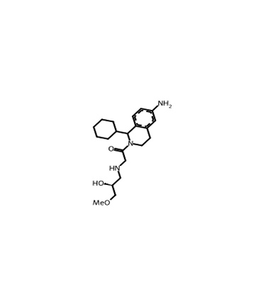 COC[C@@H](O)CNCC(=O)N1CCc2cc(N)ccc2C1C1CCCCC1